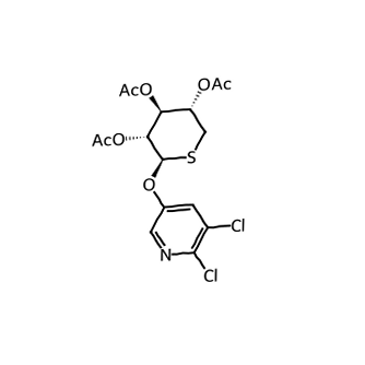 CC(=O)O[C@@H]1[C@@H](OC(C)=O)[C@H](OC(C)=O)CS[C@H]1Oc1cnc(Cl)c(Cl)c1